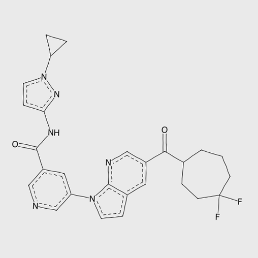 O=C(Nc1ccn(C2CC2)n1)c1cncc(-n2ccc3cc(C(=O)C4CCCC(F)(F)CC4)cnc32)c1